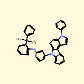 CC(C)(c1ccccc1)c1ccccc1Nc1cccc(-n2c3ccccc3c3c4ccn(-c5ccccc5)c4ccc32)c1